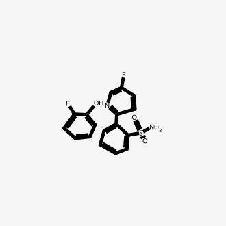 NS(=O)(=O)c1ccccc1-c1ccc(F)cn1.Oc1ccccc1F